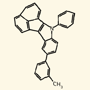 Cc1cccc(-c2ccc3c(c2)c2c(n3-c3ccccc3)-c3cccc4cccc-2c34)c1